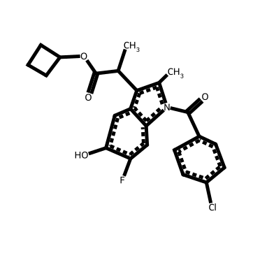 Cc1c(C(C)C(=O)OC2CCC2)c2cc(O)c(F)cc2n1C(=O)c1ccc(Cl)cc1